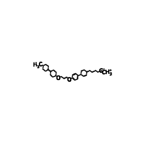 [CH2+][CH-]CCCCC1CCC(c2ccc(OCCCOC3CCC(C4CCC(C)CC4)CC3)cc2)CC1